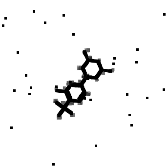 Cc1nc(N2C[C@H](C)C[C@H](C)C2)ccc1C(C)(C)C